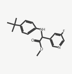 COC(=O)C(Nc1ccc(C(C)(C)C)cc1)c1cncc(F)c1